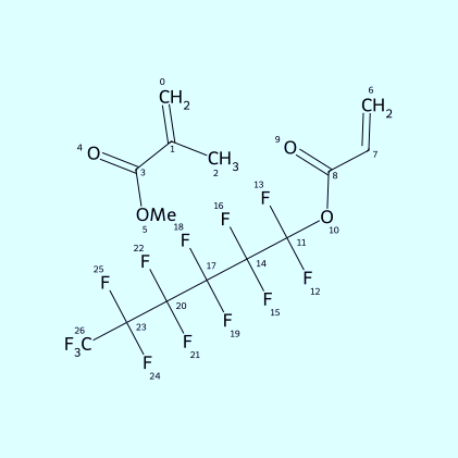 C=C(C)C(=O)OC.C=CC(=O)OC(F)(F)C(F)(F)C(F)(F)C(F)(F)C(F)(F)C(F)(F)F